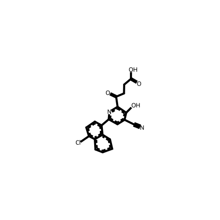 N#Cc1cc(-c2ccc(Cl)c3ccccc23)nc(C(=O)CCC(=O)O)c1O